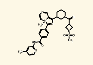 CS(=O)(=O)N1CC(C(=O)N2CCCC(C3=C4C=NC=C[N+]4(N)C(c4ccc(C(=O)Nc5cc(C(F)(F)F)ccn5)cc4)=N3)C2)C1